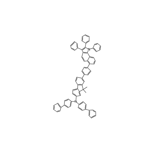 CC1(C)c2cc(-c3ccc(-c4cccc5c4ccc4c(-c6ccccc6)c(-c6ccccc6)n(-c6ccccc6)c45)cc3)ccc2-c2ccc(N(c3ccc(-c4ccccc4)cc3)c3ccc(-c4ccccc4)cc3)cc21